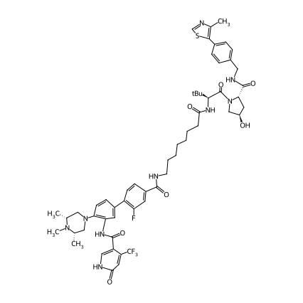 Cc1ncsc1-c1ccc(CNC(=O)[C@@H]2C[C@@H](O)CN2C(=O)[C@@H](NC(=O)CCCCCCCNC(=O)c2ccc(-c3ccc(N4C[C@@H](C)N(C)[C@@H](C)C4)c(NC(=O)c4c[nH]c(=O)cc4C(F)(F)F)c3)c(F)c2)C(C)(C)C)cc1